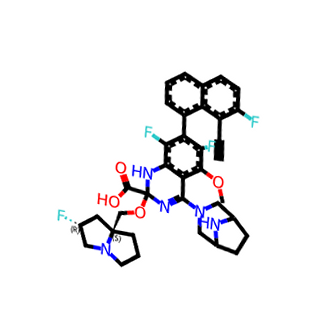 C#Cc1c(F)ccc2cccc(-c3c(F)c4c(c(OC)c3F)C(N3CC5CCC(C3)N5)=NC(OC[C@@]35CCCN3C[C@H](F)C5)(C(=O)O)N4)c12